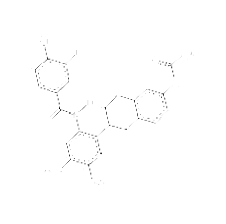 CCN(C(=O)c1ccc(O)c(F)c1)c1cc(OC)c(OC)cc1C1CCc2cc(OC(=O)C(C)(C)C)ccc2C1